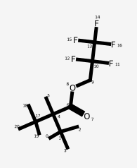 CC(C)(C)C(C)(C(=O)OCC(F)(F)C(F)(F)F)C(C)(C)C